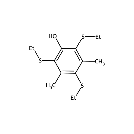 CCSc1c(C)c(SCC)c(O)c(SCC)c1C